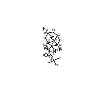 C=C[C@@]1(N[S+]([O-])C(C)(C)C)[C@@H]2CC3CC[C@H]1C[C@@](F)(C3)C2